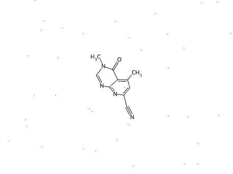 Cc1cc(C#N)nc2ncn(C)c(=O)c12